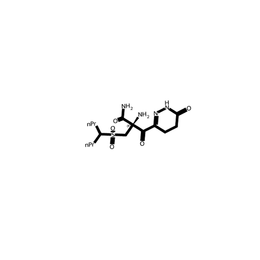 CCCC(CCC)S(=O)(=O)C[C@](N)(C(N)=O)C(=O)C1=NNC(=O)CC1